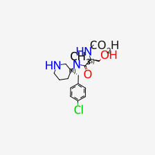 CN(C(=O)[C@H](CO)NC(=O)O)[C@@]1(Cc2ccc(Cl)cc2)CCCNC1